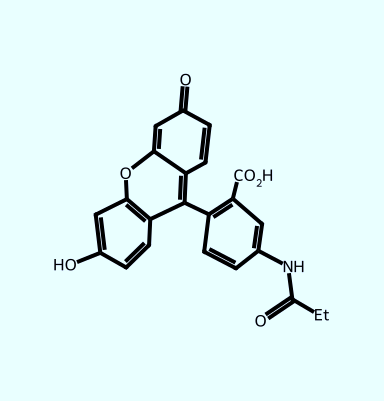 CCC(=O)Nc1ccc(-c2c3ccc(=O)cc-3oc3cc(O)ccc23)c(C(=O)O)c1